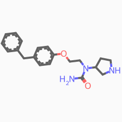 NC(=O)N(CCOc1ccc(Cc2ccccc2)cc1)C1CCNC1